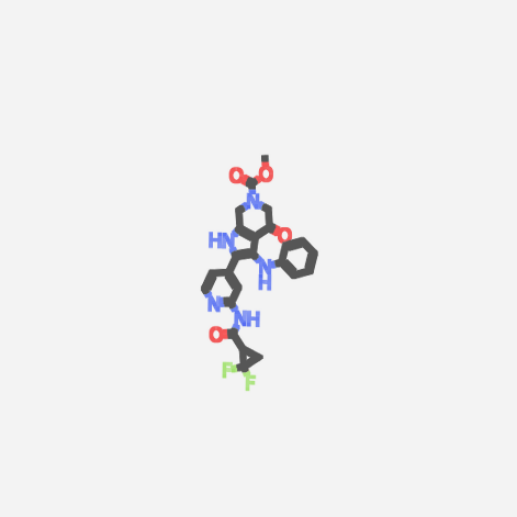 COC(=O)N1CC(=O)c2c([nH]c(-c3ccnc(NC(=O)C4CC4(F)F)c3)c2Nc2ccccc2)C1